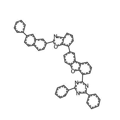 c1ccc(-c2ccc3ccc(-c4nc5cccc(-c6ccc7oc8c(-c9nc(-c%10ccccc%10)nc(-c%10ccccc%10)n9)cccc8c7c6)c5o4)cc3c2)cc1